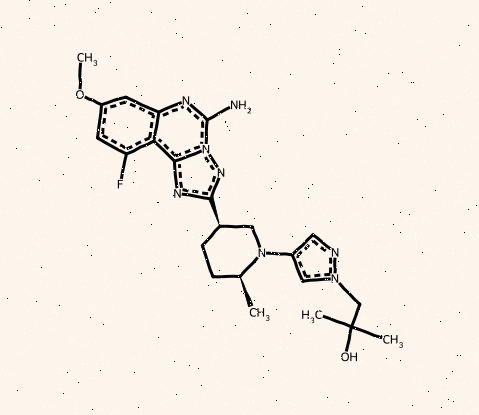 COc1cc(F)c2c(c1)nc(N)n1nc([C@@H]3CC[C@H](C)N(c4cnn(CC(C)(C)O)c4)C3)nc21